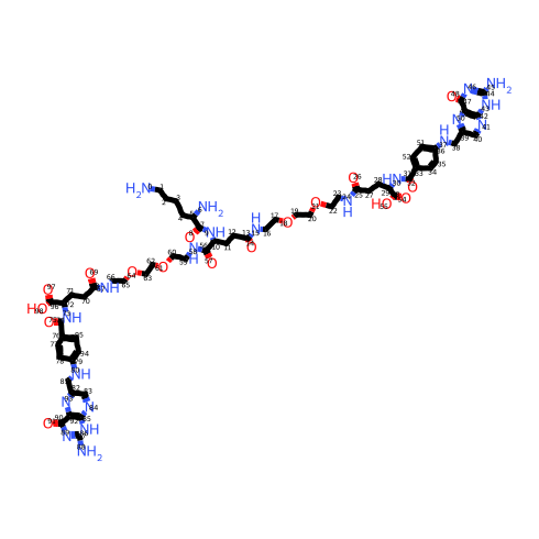 NCCCCC(N)C(=O)NC(CCC(=O)NCCOCCOCCNC(=O)CCC(NC(=O)c1ccc(NCc2cnc3[nH]c(N)nc(=O)c3n2)cc1)C(=O)O)C(=O)NCCOCCOCCNC(=O)CCC(NC(=O)c1ccc(NCc2cnc3[nH]c(N)nc(=O)c3n2)cc1)C(=O)O